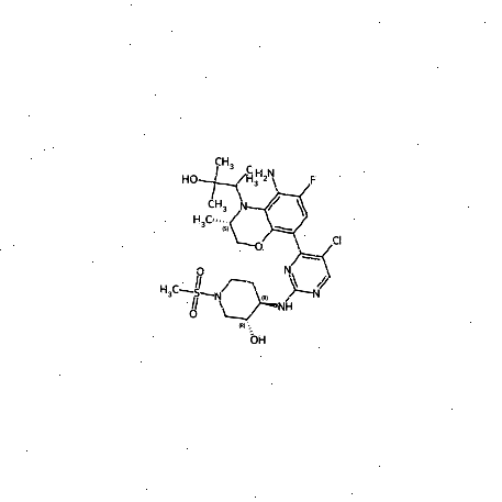 CC(N1c2c(N)c(F)cc(-c3nc(N[C@@H]4CCN(S(C)(=O)=O)C[C@H]4O)ncc3Cl)c2OC[C@@H]1C)C(C)(C)O